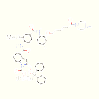 COc1cc(C(=O)N(C)c2ccc(C)cc2OCCCCCC(=O)N2CCN(C)CC2)ccc1NC(=O)c1cccc2c1cc(CO[Si](c1ccccc1)(c1ccccc1)C(C)(C)C)n2C(=O)OC(C)(C)C